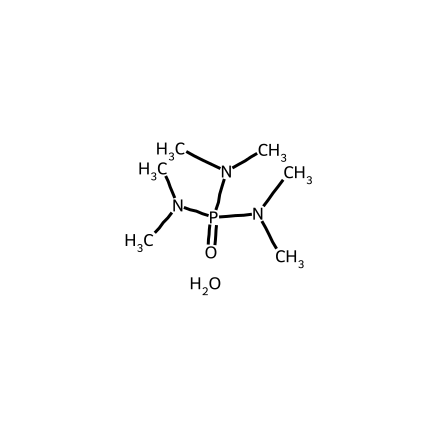 CN(C)P(=O)(N(C)C)N(C)C.O